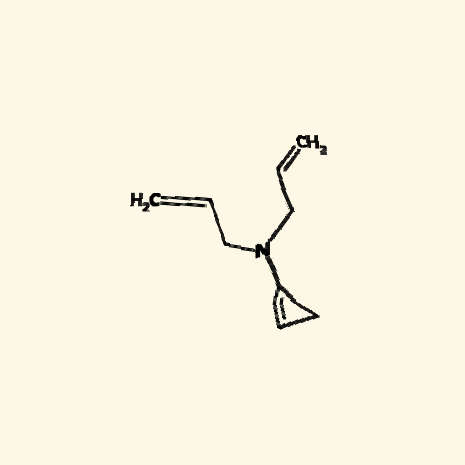 C=CCN(CC=C)C1=CC1